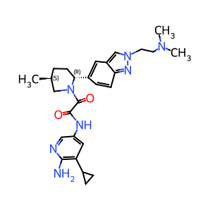 C[C@H]1CC[C@H](c2ccc3nn(CCN(C)C)cc3c2)N(C(=O)C(=O)Nc2cnc(N)c(C3CC3)c2)C1